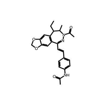 CCC1c2cc3c(cc2C(C=Cc2ccc(NC(C)=O)cc2)=NN(C(C)=O)C1C)OCO3